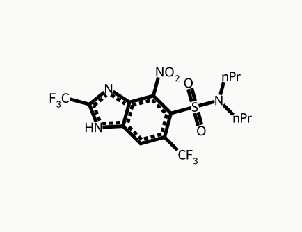 CCCN(CCC)S(=O)(=O)c1c(C(F)(F)F)cc2[nH]c(C(F)(F)F)nc2c1[N+](=O)[O-]